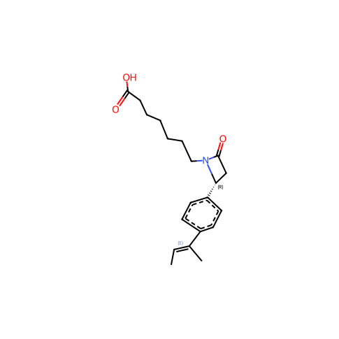 C/C=C(\C)c1ccc([C@H]2CC(=O)N2CCCCCCC(=O)O)cc1